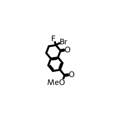 COC(=O)c1ccc2c(c1)C(=O)C(F)(Br)CC2